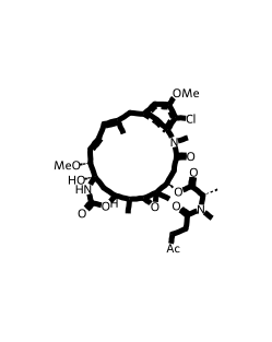 COc1cc2cc(c1Cl)N(C)C(=O)C[C@H](OC(=O)[C@H](C)N(C)C(=O)CCC(C)=O)C1(C)OC1C(C)[C@@H]1C[C@@](O)(NC(=O)O1)[C@H](OC)/C=C/C=C(\C)C2